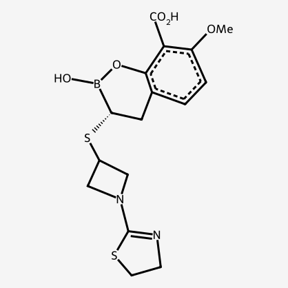 COc1ccc2c(c1C(=O)O)OB(O)[C@@H](SC1CN(C3=NCCS3)C1)C2